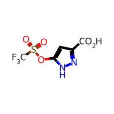 O=C(O)c1cc(OS(=O)(=O)C(F)(F)F)[nH]n1